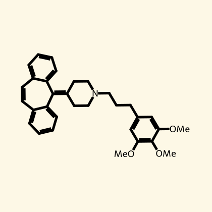 COc1cc(CCCN2CCC(=C3c4ccccc4C=Cc4ccccc43)CC2)cc(OC)c1OC